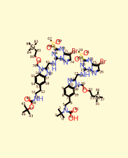 CC(C)(C)N(CCc1ccc2nc(CNc3nc(S(C)(=O)=O)nc4c(Br)cnn34)n(COCC[Si](C)(C)C)c2c1)C(=O)O.CC(C)(C)OC(=O)NCCc1ccc2c(c1)nc(CNc1nc(S(C)(=O)=O)nc3c(Br)cnn13)n2COCC[Si](C)(C)C